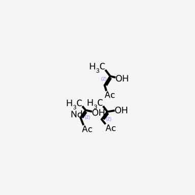 CC(=O)/C=C(/C)O.CC(=O)/C=C(/C)O.CC(=O)/C=C(/C)O.[Nd]